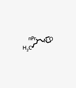 C=CCCC(CCC)CCN1CCOCC1